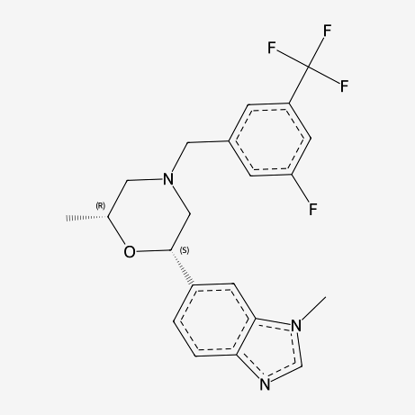 C[C@@H]1CN(Cc2cc(F)cc(C(F)(F)F)c2)C[C@H](c2ccc3ncn(C)c3c2)O1